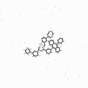 C\C=C(/N=C(\N=C\c1cccc(C2=CN=CCC=C2)c1)c1cccc(-c2c3ccccc3c(-c3ccccc3)c3ccccc23)c1)c1cccc(-c2cccnc2)c1